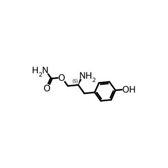 NC(=O)OC[C@@H](N)Cc1ccc(O)cc1